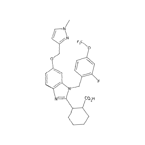 Cn1ccc(COc2ccc3nc(C4CCCCC4C(=O)O)n(Cc4ccc(OC(F)(F)F)cc4F)c3c2)n1